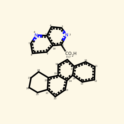 O=C(O)c1nccc2ncccc12.c1ccc2c(c1)ccc1c3c(ccc12)CCCC3